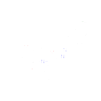 Cc1cc(C(=O)Nc2ccccc2C(=O)NN=Cc2ccc(F)cc2)c(C)o1